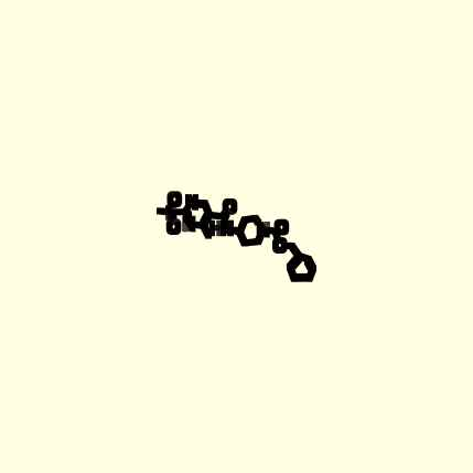 Cc1nc(S(C)(=O)=O)ncc1C(=O)NC1CCN(C(=O)OCc2ccccc2)CC1